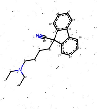 CCN(CC)CCCCC1(C#N)c2ccccc2-c2ccccc21